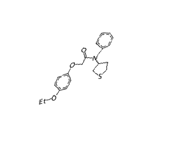 CCOc1ccc(OCC(=O)N(c2ccccc2)C2CCSC2)cc1